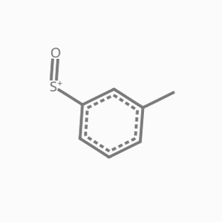 Cc1cccc([S+]=O)c1